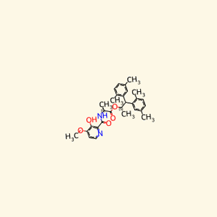 COc1ccnc(C(=O)N[C@@H](C)C(=O)O[C@@H](C)C(c2cc(C)ccc2C)c2cc(C)ccc2C)c1O